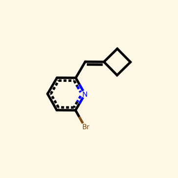 Brc1cccc(C=C2CCC2)n1